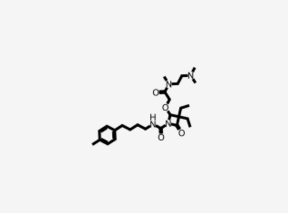 CCC1(CC)C(=O)N(C(=O)NCCCCc2ccc(C)cc2)C1OCC(=O)N(C)CCN(C)C